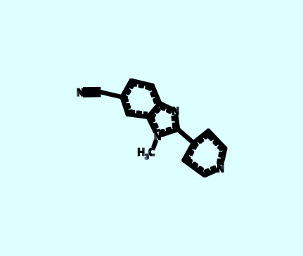 Cn1c(-c2ccncc2)nc2ccc(C#N)cc21